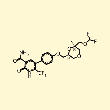 C[C@]1(COC(F)F)COC[C@@H](COc2ccc(-c3cc(C(N)=O)c(=O)[nH]c3C(F)(F)F)cc2)O1